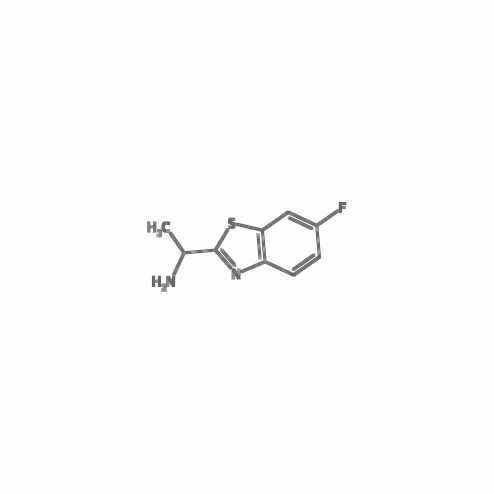 CC(N)c1nc2ccc(F)cc2s1